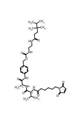 CC(C)[C@H](NC(=O)CCCCCN1C(=O)C=CC1=O)C(=O)N[C@@H](C)C(=O)Nc1ccc(COC(=O)NCCNC(=O)CCC(C)(C)C(C)C)cc1